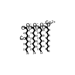 CCCCCCCCCC(=O)[O-].CCCCCCCCCC(=O)[O-].CCCCCCCCCC(=O)[O-].CCCCCCCCCC(=O)[O-].[Co+2].[Co+2]